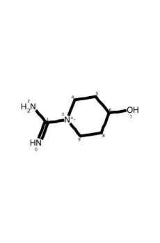 N=C(N)[N+]1CCC(O)CC1